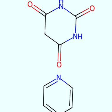 O=C1CC(=O)NC(=O)N1.c1ccncc1